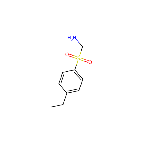 CCc1ccc(S(=O)(=O)CN)cc1